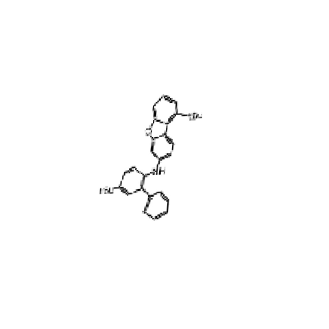 CC(C)(C)c1ccc(Nc2ccc3c(c2)oc2cccc(C(C)(C)C)c23)c(-c2ccccc2)c1